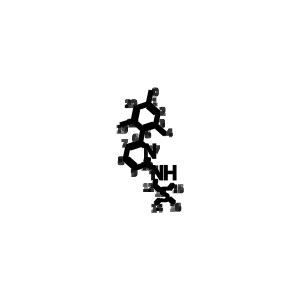 Cc1cc(C)c(-c2cccc(NCS(C)(C)C)n2)c(C)c1